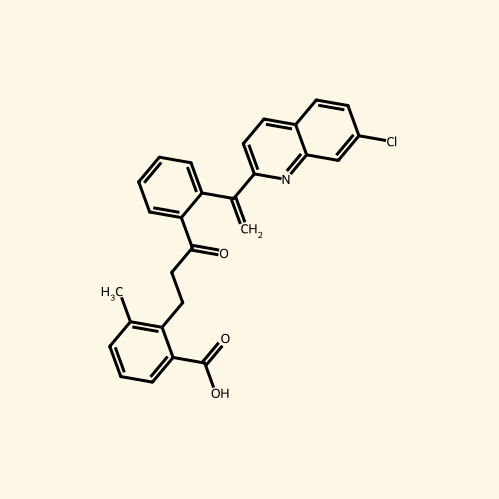 C=C(c1ccc2ccc(Cl)cc2n1)c1ccccc1C(=O)CCc1c(C)cccc1C(=O)O